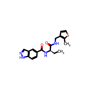 CC[C@@H](NC(=O)c1ccc2[nH]ncc2c1)C(=O)NCc1ccsc1C